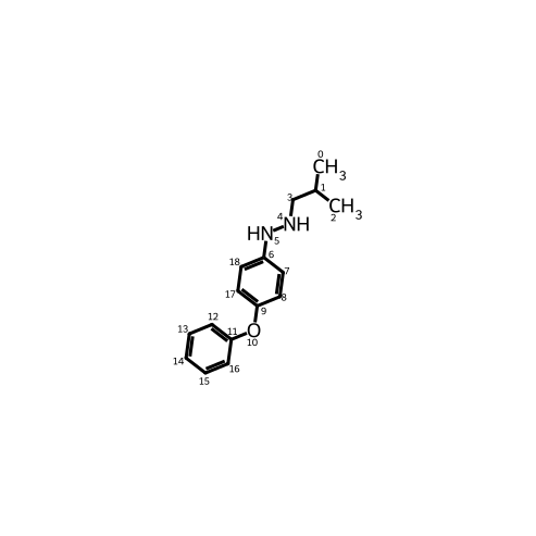 CC(C)CNNc1ccc(Oc2ccccc2)cc1